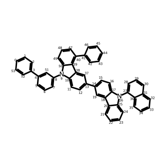 c1ccc(-c2cccc(-n3c4ccc(-c5ccc6c(c5)c5ccccc5n6-c5cccc6ccccc56)cc4c4c(-c5ccccc5)cccc43)c2)cc1